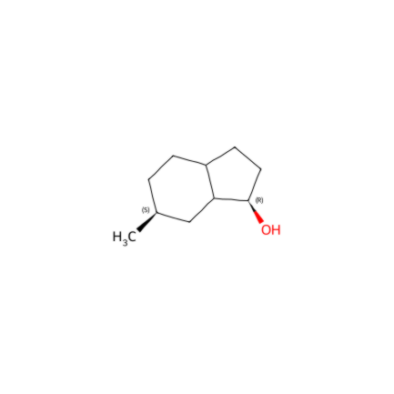 C[C@H]1CCC2CC[C@@H](O)C2C1